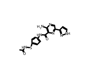 CC(=O)NSc1ccc(NC(=O)c2nc(-c3cc[nH]n3)cnc2N)cc1